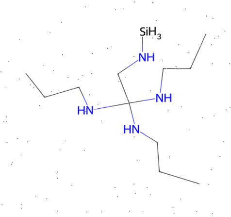 CCCNC(CN[SiH3])(NCCC)NCCC